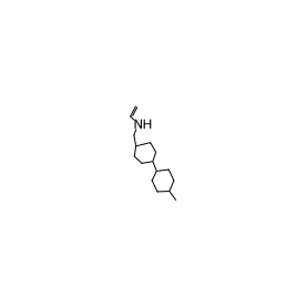 C=CNCC1CCC(C2CCC(C)CC2)CC1